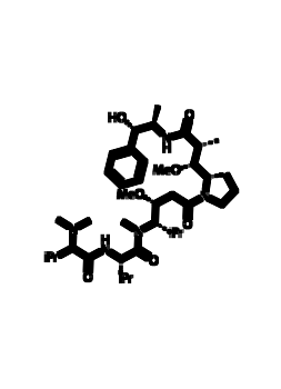 CO[C@H]([C@@H](C)C(=O)N[C@H](C)[C@@H](O)c1ccccc1)[C@@H]1CCCN1C(=O)C[C@@H](OC)[C@H](C(C)C)N(C)C(=O)[C@@H](NC(=O)C(C(C)C)N(C)C)C(C)C